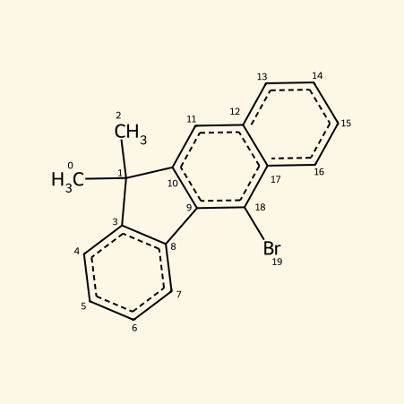 CC1(C)c2ccccc2-c2c1cc1ccccc1c2Br